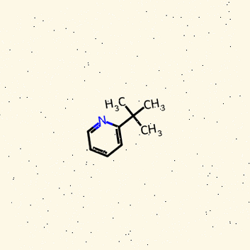 CC(C)(C)c1cc[c]cn1